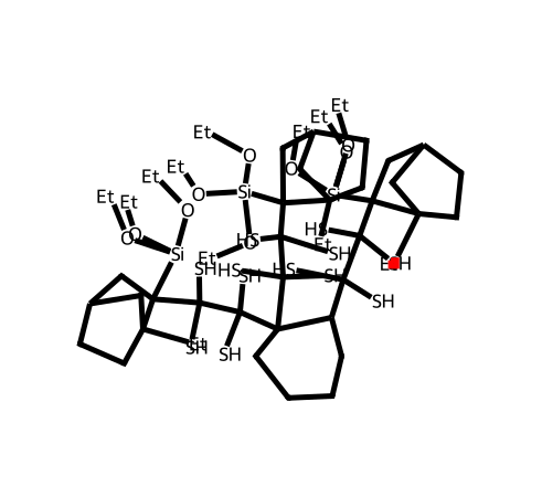 CCO[Si](OCC)(OCC)C1(C(S)(S)C(S)(S)C2CCCCC2(C(S)(S)C(S)(S)C2([Si](OCC)(OCC)OCC)CC3CCC2(CC)C3)C(S)(S)C(S)(S)C2([Si](OCC)(OCC)OCC)CC3CCC2(CC)C3)CC2CCC1(CC)C2